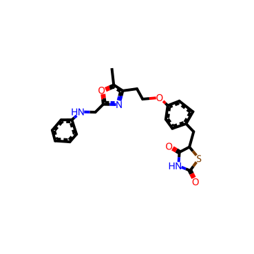 Cc1oc(CNc2ccccc2)nc1CCOc1ccc(CC2SC(=O)NC2=O)cc1